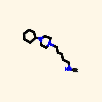 CCNCCCCCN1CCN(C2CCCCC2)CC1